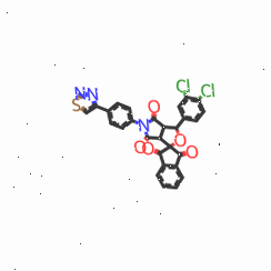 O=C1C2C(c3ccc(Cl)c(Cl)c3)OC3(C(=O)c4ccccc4C3=O)C2C(=O)N1c1ccc(-c2csnn2)cc1